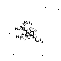 C=C/C=C(\C=C/C(C)CN(CCC)CCN(C)COC)COC